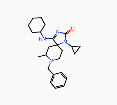 CC1CC2(CCN1Cc1ccccc1)C(NC1CCCCC1)=NC(=O)N2C1CC1